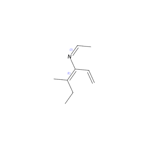 C=CC(/N=C\C)=C(/C)CC